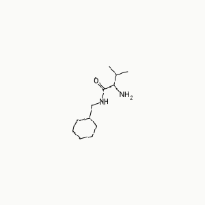 CC(C)C(N)C(=O)NCC1CCCCC1